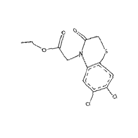 CCOC(=O)CN1C(=O)CSc2cc(Cl)c(Cl)cc21